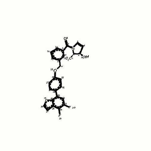 O=C(O)[C@@H]1[C@H](O)CCN1C(=O)c1cccc(COc2ccc(-c3cc(F)c(F)c4ccoc34)cc2)c1